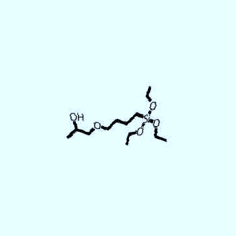 CCO[Si](CCCCOCC(C)O)(OCC)OCC